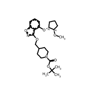 CO[C@@H]1CCC[C@H]1Oc1cccc2onc(OCC3CCN(C(=O)OC(C)(C)C)CC3)c12